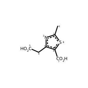 Cc1nc(CC(=O)O)c(C(=O)O)s1